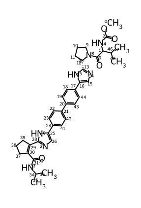 COC(=O)NC(C(=O)N1CCC[C@H]1c1ncc(-c2ccc(-c3ccc(-c4cnc(C5=C(C(=O)NC(C)C)CCC5)[nH]4)cc3)cc2)[nH]1)C(C)C